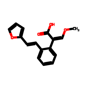 COC=C(C(=O)O)c1ccccc1C=Cc1ccco1